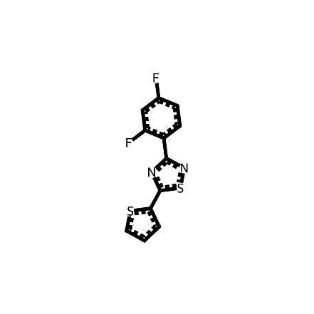 Fc1ccc(-c2nsc(-c3cccs3)n2)c(F)c1